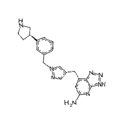 Nc1cc(Cc2cnn(Cc3cccc([C@H]4CCNC4)c3)c2)c2nn[nH]c2n1